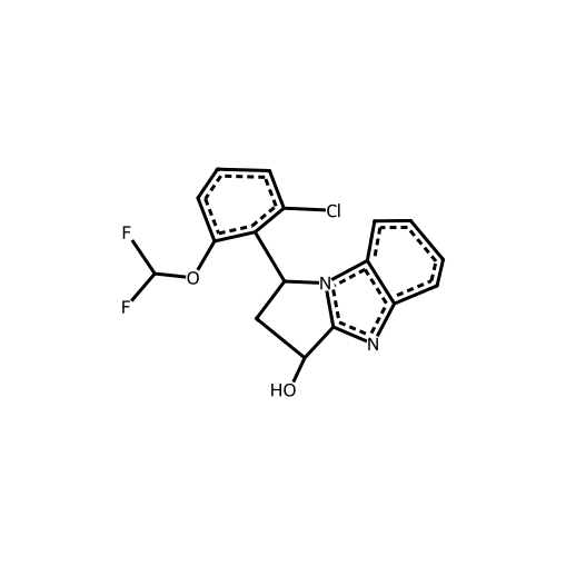 OC1CC(c2c(Cl)cccc2OC(F)F)n2c1nc1ccccc12